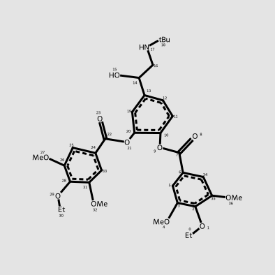 CCOc1c(OC)cc(C(=O)Oc2ccc(C(O)CNC(C)(C)C)cc2OC(=O)c2cc(OC)c(OCC)c(OC)c2)cc1OC